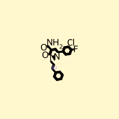 NC(=O)c1cc(-c2ccc(F)c(Cl)c2)nn(C/C=C/c2ccccc2)c1=O